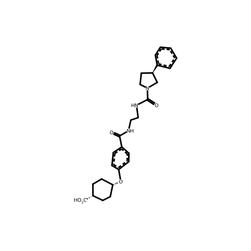 O=C(NCCNC(=O)N1CC[C@@H](c2ccccc2)C1)c1ccc(O[C@H]2CC[C@@H](C(=O)O)CC2)cc1